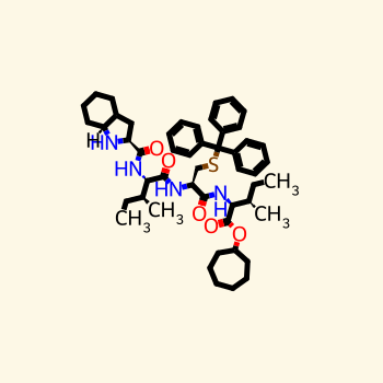 CC[C@H](C)[C@H](NC(=O)[C@@H]1CC2CCCC[C@@H]2N1)C(=O)N[C@@H](CSC(c1ccccc1)(c1ccccc1)c1ccccc1)C(=O)N[C@H](C(=O)OC1CCCCCC1)[C@@H](C)CC